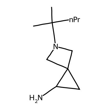 CCCC(C)(C)N1CC2(CC2N)C1